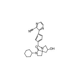 N#Cc1nccnc1-c1ccc(CN2CC(O)CC23CCN(C2CCCCC2)C3=O)cc1